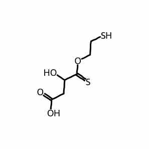 O=C(O)CC(O)C(=S)OCCS